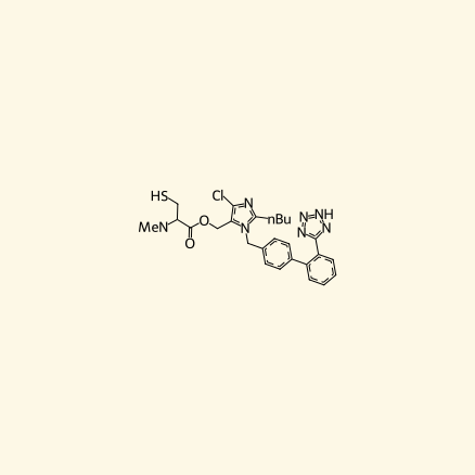 CCCCc1nc(Cl)c(COC(=O)C(CS)NC)n1Cc1ccc(-c2ccccc2-c2nn[nH]n2)cc1